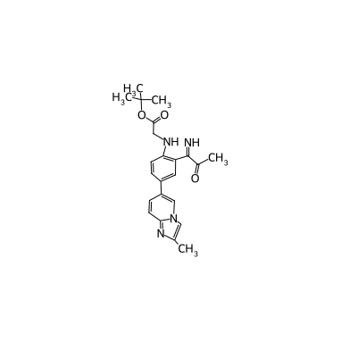 CC(=O)C(=N)c1cc(-c2ccc3nc(C)cn3c2)ccc1NCC(=O)OC(C)(C)C